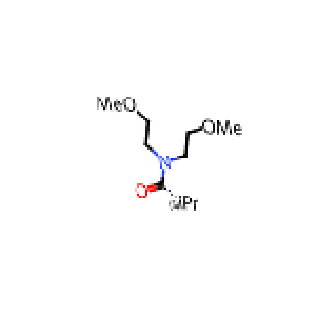 [CH2][C@@H](C)C(=O)N(CCOC)CCOC